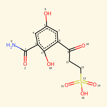 NC(=O)c1cc(O)cc(C(=O)CCS(=O)(=O)O)c1O